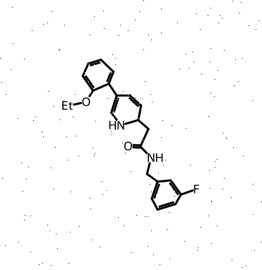 CCOc1ccccc1C1=CNC(CC(=O)NCc2cccc(F)c2)C=C1